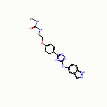 CC(C)NC(=O)NCCOC1=CC=C(c2nnc(Nc3ccc4[nH]ncc4c3)[nH]2)CC1